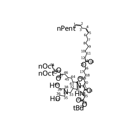 CCCCC/C=C\C/C=C\CCCCCCCC(=O)OCCCCCC(C(=O)NCC(=O)OC(C)(C)C)N(CCCN(CCO)CCO)C(=O)CCCCC(=O)OC(CCCCCCCC)CCCCCCCC